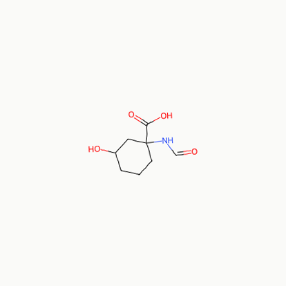 O=CNC1(C(=O)O)CCCC(O)C1